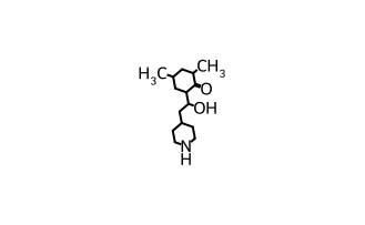 CC1CC(C)C(=O)C(C(O)CC2CCNCC2)C1